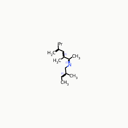 C=C(/C=C(C)/C(C)=N\C/C(C)=C/C)C(C)C